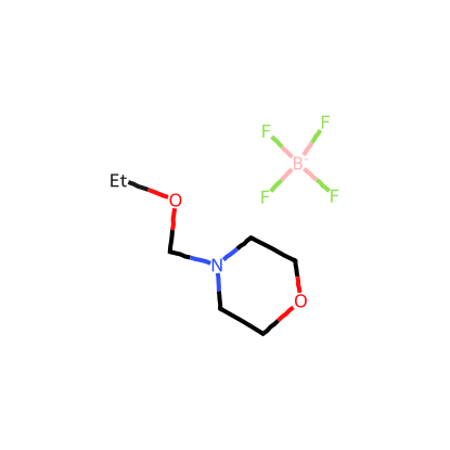 CCOCN1CCOCC1.F[B-](F)(F)F